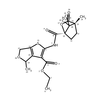 CCOC(=O)c1c(NC(=O)[C@]23CC[C@@](C)(C(=O)O2)C3(C)C)sc2c1C(C)OC2